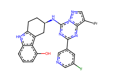 CC(C)c1cnn2c(N[C@@H]3CCc4[nH]c5cccc(O)c5c4C3)nc(-c3cncc(F)c3)nc12